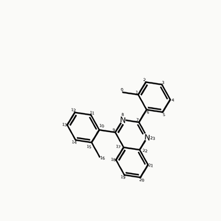 Cc1ccccc1-c1nc(-c2ccccc2C)c2ccccc2n1